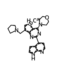 C[C@@H]1COCCN1c1nc(-c2ccnc3[nH]ccc23)nc2c(CN3CCCC3)csc12